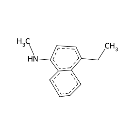 CCc1ccc(NC)c2ccccc12